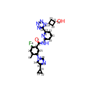 Cc1cc(F)c(C(=O)Nc2cccc(-c3nnnn3[C@H]3C[C@@H](O)C3)n2)cc1-n1cnc(C2CC2)c1